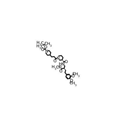 COC(=O)[C@H](CCc1ccc(OC)c(OC)c1)CNC(=O)[C@@H]1CCCN(C(=O)CCC2CCN(C(=O)OC(C)(C)C)CC2)C1